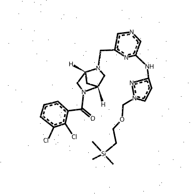 C[Si](C)(C)CCOCn1ccc(Nc2cncc(CN3C[C@H]4C[C@@H]3CN4C(=O)c3cccc(Cl)c3Cl)n2)n1